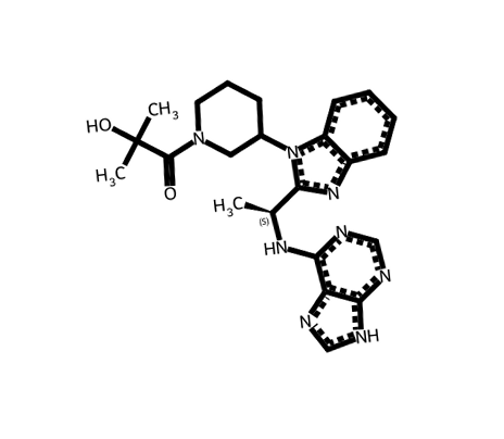 C[C@H](Nc1ncnc2[nH]cnc12)c1nc2ccccc2n1C1CCCN(C(=O)C(C)(C)O)C1